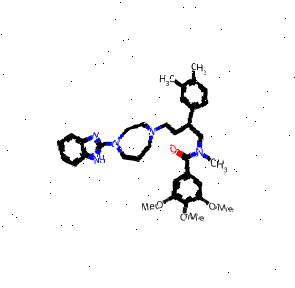 COc1cc(C(=O)N(C)CC(CCN2CCCN(c3nc4ccccc4[nH]3)CC2)c2ccc(C)c(C)c2)cc(OC)c1OC